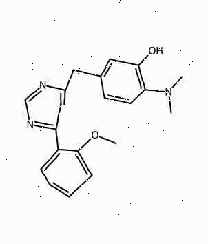 COc1ccccc1-c1cc(Cc2ccc(N(C)C)c(O)c2)ncn1